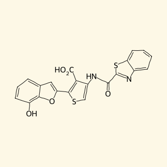 O=C(Nc1csc(-c2cc3cccc(O)c3o2)c1C(=O)O)c1nc2ccccc2s1